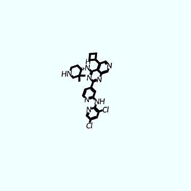 CC1(C)CNCC[C@@H]1Nc1nc(-c2ccnc(Nc3ncc(Cl)cc3Cl)c2)nc2cncc(C3CCC3)c12